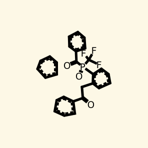 O=C(Cc1ccccc1P(=O)(C(=O)c1ccccc1)C(F)(F)F)c1ccccc1.c1ccccc1